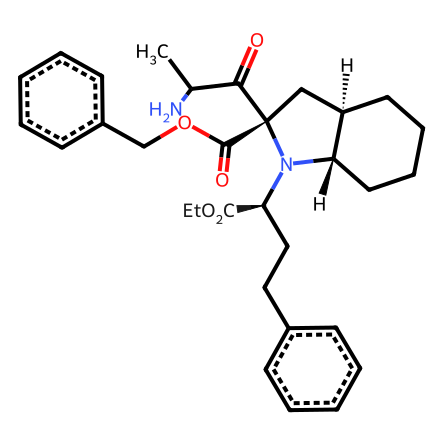 CCOC(=O)[C@H](CCc1ccccc1)N1[C@H]2CCCC[C@@H]2C[C@@]1(C(=O)OCc1ccccc1)C(=O)C(C)N